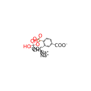 CC(O)(O)OS(=O)(=O)c1ccc(C(=O)[O-])cc1C(=O)[O-].[Na+].[Na+]